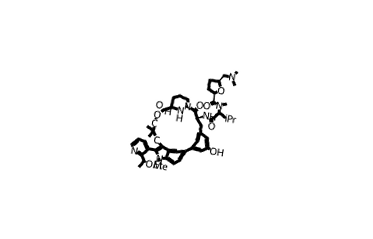 CCn1c(-c2cccnc2[C@H](C)OC)c2c3cc(ccc31)-c1cc(O)cc(c1)C[C@H](NC(=O)C(C(C)C)N(C)C(=O)[C@H]1CC[C@@H](CN(C)C)O1)C(=O)N1CCC[C@H](N1)C(=O)OCC(C)(C)C2